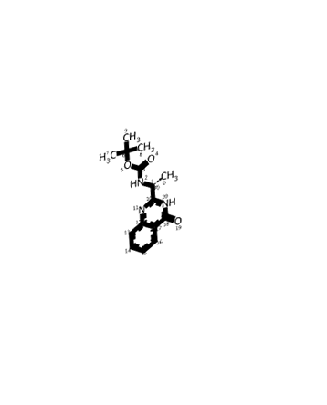 C[C@@H](NC(=O)OC(C)(C)C)c1nc2ccccc2c(=O)[nH]1